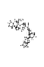 COc1ccccc1CN1CCC(NC(=O)CNCc2cc(C(=O)On3cccc3)ccn2)CC1